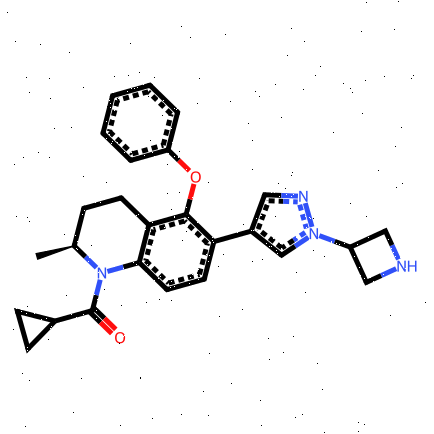 C[C@H]1CCc2c(ccc(-c3cnn(C4CNC4)c3)c2Oc2ccccc2)N1C(=O)C1CC1